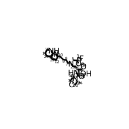 CO[C@H](CF)CN(CCCCc1ccc2c(n1)NCCC2)CC[C@H](NC(=O)N1[C@H](C)COC[C@@H]1C)C(=O)O